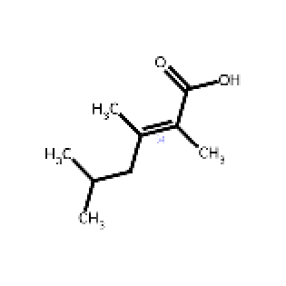 C/C(CC(C)C)=C(/C)C(=O)O